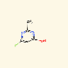 Cc1nc(O)cc(F)n1